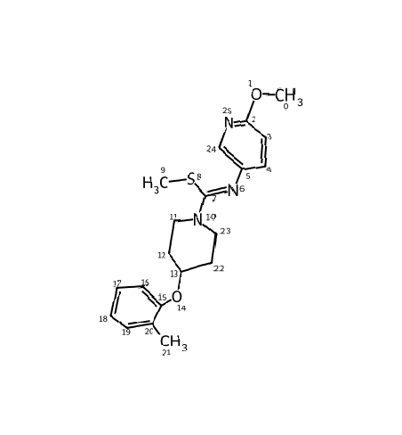 COc1ccc(N=C(SC)N2CCC(Oc3ccccc3C)CC2)cn1